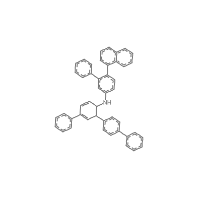 C1=CC(Nc2ccc(-c3cccc4ccccc34)c(-c3ccccc3)c2)C(c2ccc(-c3ccccc3)cc2)C=C1c1ccccc1